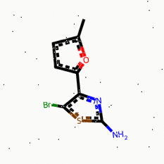 Cc1ccc(-c2nc(N)sc2Br)o1